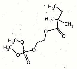 CCC(C)(C)C(=O)OCCOP(=O)(OC)OC